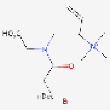 C=CC[N+](C)(C)C.CCCCCCCCCCCC(=O)N(C)CC(=O)O.[Br-]